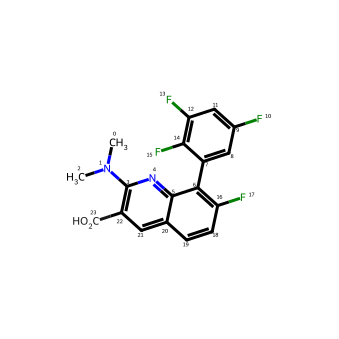 CN(C)c1nc2c(-c3cc(F)cc(F)c3F)c(F)ccc2cc1C(=O)O